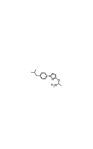 CC(C)Cc1ccc(-n2ccc(OC(C)N)n2)cc1